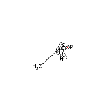 CCCCCCCCCCCCCCCC(=O)OCOC(C(=O)OC1CC2CCC(C1)[N+]21CCCC1)(c1ccccc1)c1ccccc1.O=C([O-])C(F)(F)F